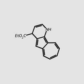 CCOC(=O)C1C=CNc2c3cccccc-3cc21